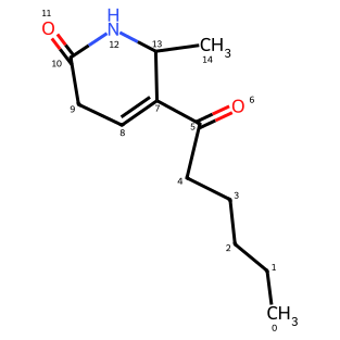 CCCCCC(=O)C1=CCC(=O)NC1C